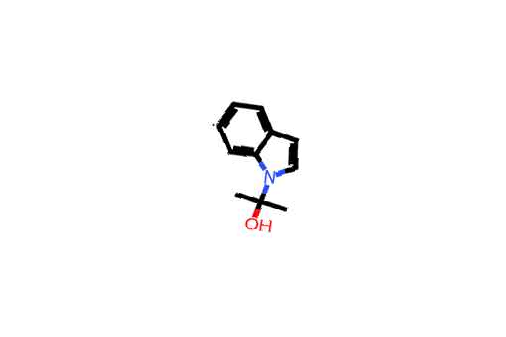 CC(C)(O)n1ccc2cc[c]cc21